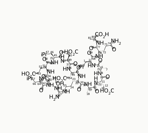 CC(C)C[C@H](NC(=O)[C@H](C)NC(=O)[C@H](CC(=O)O)NC(=O)[C@H](C)NC(=O)[C@H](CCCNC(=N)N)NC(=O)[C@H](CC(=O)O)NC(=O)[C@H](CC(=O)O)NC(=O)[C@H](CC(C)C)NC(=O)[C@H](CCC(=O)O)NC(=O)[C@H](CO)NC(=O)[C@@H](N)CC(C)C)C(=O)N[C@@H](CCC(N)=O)C(=O)N[C@@H](C)C(=O)O